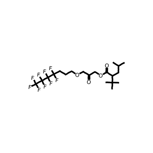 CC(C)CC(C(=O)OCC(=O)COCCCC(F)(F)C(F)(F)C(F)(F)C(F)(F)F)C(C)(C)C